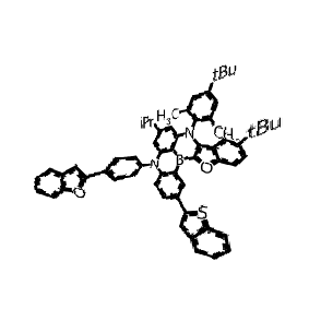 Cc1cc(C(C)(C)C)cc(C)c1N1c2cc(C(C)C)cc3c2B(c2cc(-c4cc5ccccc5s4)ccc2N3c2ccc(-c3cc4ccccc4o3)cc2)c2oc3ccc(C(C)(C)C)cc3c21